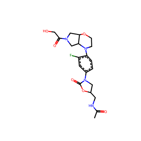 CC(=O)NCC1CN(c2ccc(N3CCOC4CN(C(=O)CO)CC43)c(F)c2)C(=O)O1